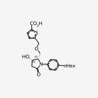 CCCCCCc1ccc(N2C(=O)C[C@H](O)[C@@H]2COCc2ccc(C(=O)O)s2)cc1